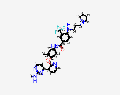 CNc1nccc(-c2cccnc2Oc2ccc(NC(=O)c3ccc(NCCCN4CCCC4)c(C(F)(F)F)c3)cc2C)n1